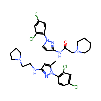 Cc1cc(NCCN2CCCC2)nn1-c1ccc(Cl)cc1Cl.O=C(CN1CCCCC1)Nc1ccn(-c2ccc(Cl)cc2Cl)n1